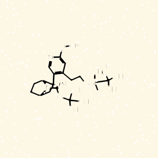 COc1cc(CCO[Si](C)(C)C(C)(C)C)c(C2(O)CC3CCC2N3C(=O)OC(C)(C)C)cn1